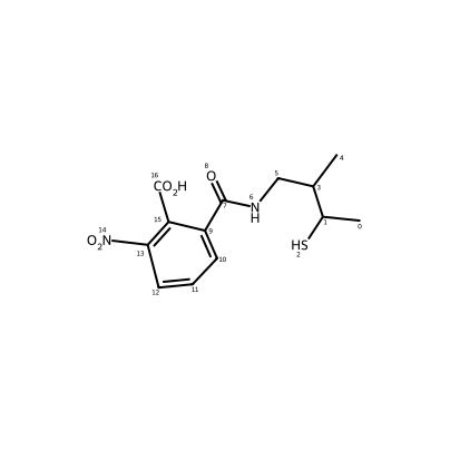 CC(S)C(C)CNC(=O)c1cccc([N+](=O)[O-])c1C(=O)O